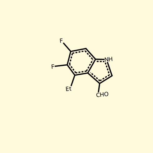 CCc1c(F)c(F)cc2[nH]cc(C=O)c12